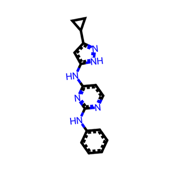 c1ccc(Nc2nccc(Nc3cc(C4CC4)n[nH]3)n2)cc1